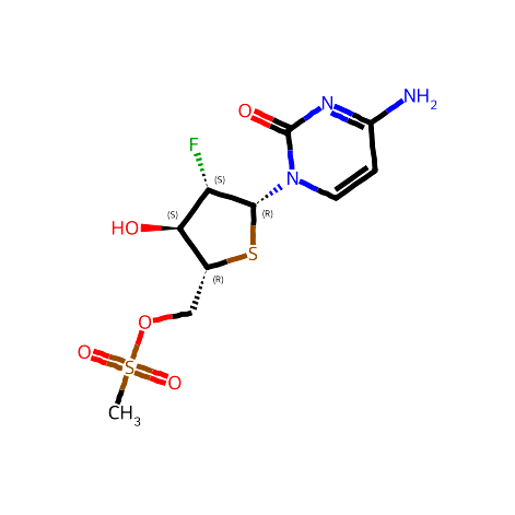 CS(=O)(=O)OC[C@H]1S[C@@H](n2ccc(N)nc2=O)[C@@H](F)[C@@H]1O